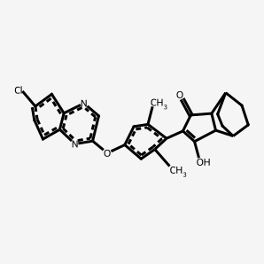 Cc1cc(Oc2cnc3cc(Cl)ccc3n2)cc(C)c1C1=C(O)C2C3CCC(CC3)C2C1=O